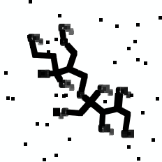 C=C(CO)C(C)C(C)(CC)OCC(COC)C(C)(O)CCC